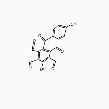 O=Cc1c(O)c(C=O)c(C=O)c(C(=O)c2ccc(O)cc2)c1C=O